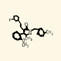 COc1ccccc1-c1c(C)nn(Cc2cccc(C)c2)c(=O)c1C=Cc1cccc(F)c1